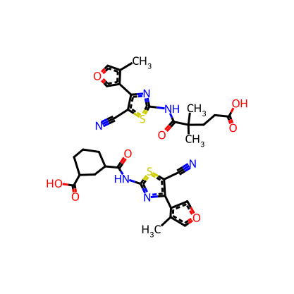 Cc1cocc1-c1nc(NC(=O)C(C)(C)CCC(=O)O)sc1C#N.Cc1cocc1-c1nc(NC(=O)C2CCCC(C(=O)O)C2)sc1C#N